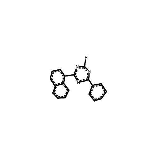 CCc1nc(-c2ccccc2)nc(-c2cccc3ccccc23)n1